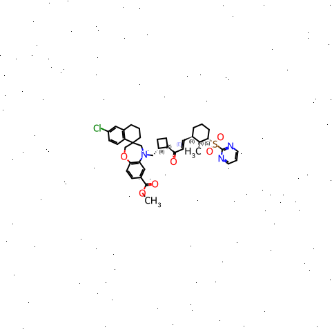 COC(=O)c1ccc2c(c1)N(C[C@@H]1CC[C@H]1C(=O)/C=C/[C@H]1CCC[C@H](S(=O)(=O)c3ncccn3)[C@@H]1C)CC1(CCCc3cc(Cl)ccc31)CO2